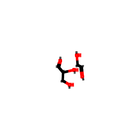 O=CC(O)CO.O=CCO